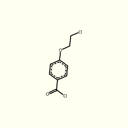 O=C(Cl)c1ccc(OCCCl)cc1